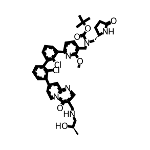 COc1nc(-c2cccc(-c3cccc(-c4ccn5c(=O)c(CNC[C@@H](C)O)cnc5c4)c3Cl)c2Cl)ccc1CN(C[C@@H]1CCC(=O)N1)C(=O)OC(C)(C)C